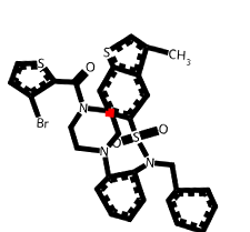 Cc1csc2ccc(S(=O)(=O)N(Cc3ccccc3)c3ccccc3N3CCN(C(=O)c4sccc4Br)CC3)cc12